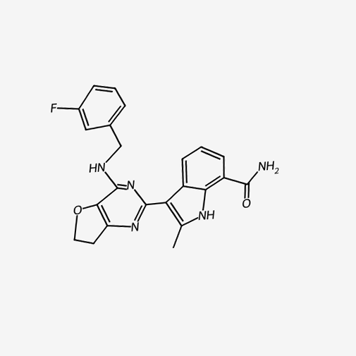 Cc1[nH]c2c(C(N)=O)cccc2c1-c1nc2c(c(NCc3cccc(F)c3)n1)OCC2